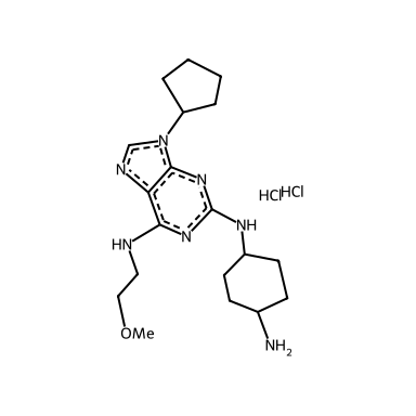 COCCNc1nc(NC2CCC(N)CC2)nc2c1ncn2C1CCCC1.Cl.Cl